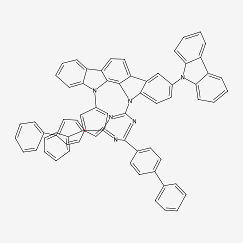 c1ccc(-c2ccc(-c3nc(-c4ccc(-c5ccccc5)cc4)nc(-n4c5ccc(-n6c7ccccc7c7ccccc76)cc5c5ccc6c7ccccc7n(-c7cccc(-c8ccccc8)c7)c6c54)n3)cc2)cc1